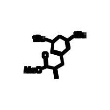 C=C(CC1=CC(C(C)(C)C)CC(C(C)(C)C)=C1)C(=O)OC